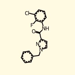 O=C(Nc1cccc(Cl)c1F)c1ccn(Cc2ccccc2)n1